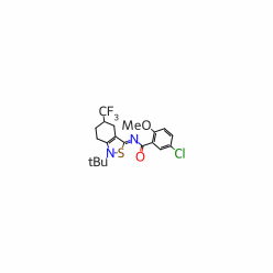 COc1ccc(Cl)cc1C(=O)N=c1sn(C(C)(C)C)c2c1CC(C(F)(F)F)CC2